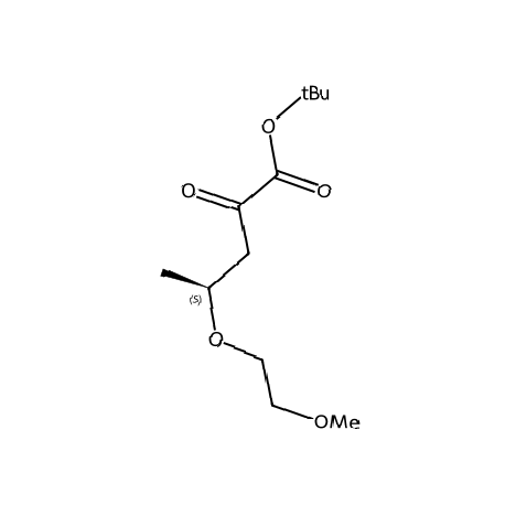 COCCO[C@@H](C)CC(=O)C(=O)OC(C)(C)C